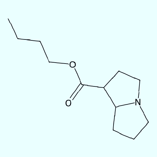 CCCCOC(=O)C1CCN2CCCC12